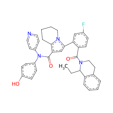 CCC1c2ccccc2CCN1C(=O)c1ccc(F)cc1-c1cc(C(=O)N(c2ccncc2)c2ccc(O)cc2)c2n1CCCC2